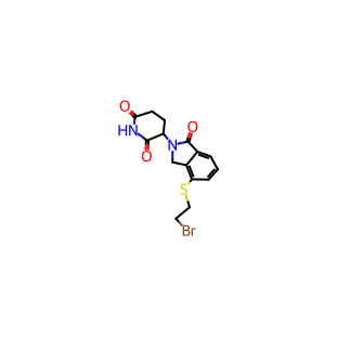 O=C1CCC(N2Cc3c(SCCBr)cccc3C2=O)C(=O)N1